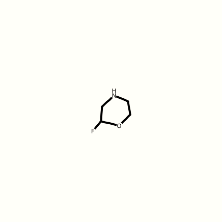 F[C]1CNCCO1